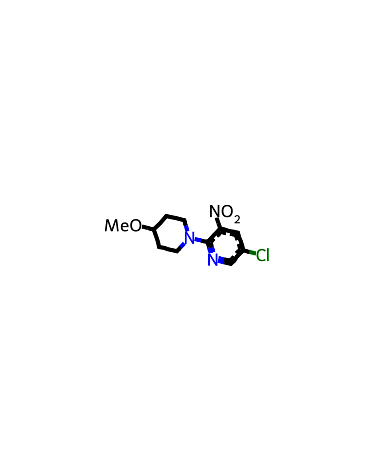 COC1CCN(c2ncc(Cl)cc2[N+](=O)[O-])CC1